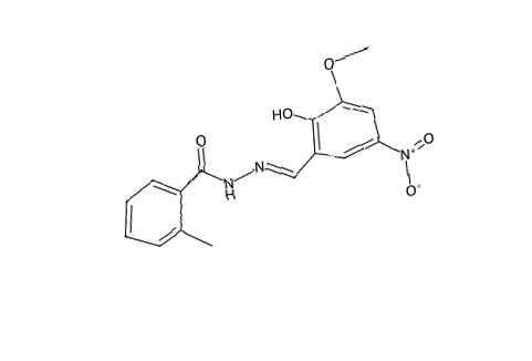 COc1cc([N+](=O)[O-])cc(C=NNC(=O)c2ccccc2C)c1O